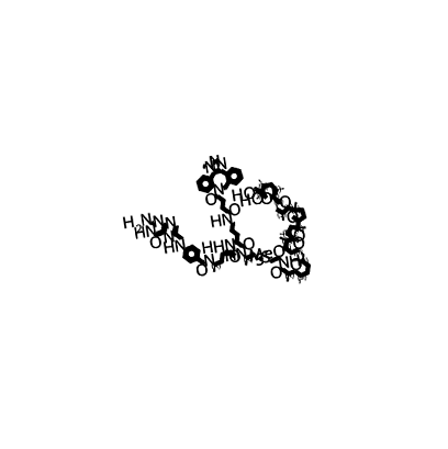 CO[C@@H]1C[C@@H](C[C@H]2CC[C@H](C)C([C@@H](C)C(=O)NCCSSC[C@@H](C)NC(=O)C(CCCNC(=O)CCC(=O)N3Cc4ccccc4-c4nnn(C)c4-c4ccccc43)NC(=O)CC[C@@H](C)NC(=O)c3ccc(NCc4cnc5nc(N)[nH]c(=O)c5n4)cc3)O2)O[C@]2(O[C@@](C)(C3CC[C@@](C)([C@@H]4O[C@@H]([C@@H]5O[C@@](O)(CO)[C@H](C)C[C@@H]5C)C[C@@H]4C)O3)C[C@H]2C)[C@@H]1C